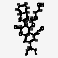 CCN(CC)c1cc2c(c(=C=O)c1)=C(OC(C)OCCO)C(c1nc3ccccc3s1)C(=O)O2